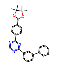 CC1(C)OB(c2ccc(-c3ncnc(-c4cccc(-c5ccccc5)c4)n3)cc2)OC1(C)C